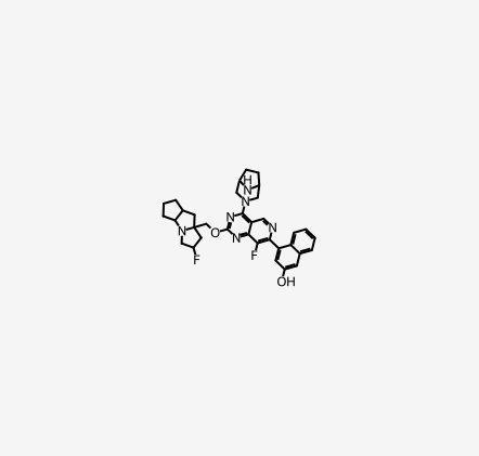 Oc1cc(-c2ncc3c(N4CC5CCC(C4)N5)nc(OCC45CC(F)CN4C4CCCC4C5)nc3c2F)c2ccccc2c1